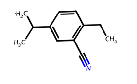 [CH2]C(C)c1ccc(CC)c(C#N)c1